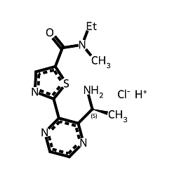 CCN(C)C(=O)c1cnc(-c2nccnc2[C@H](C)N)s1.[Cl-].[H+]